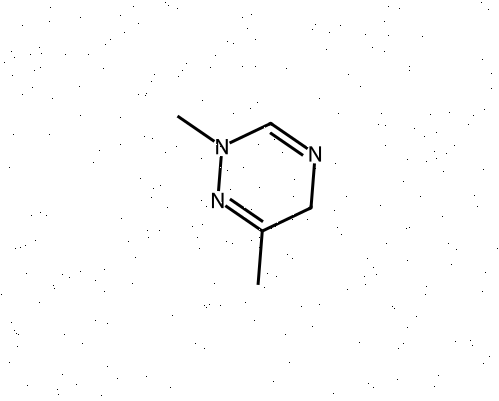 CC1=NN(C)C=NC1